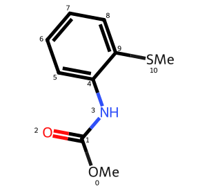 [CH2]OC(=O)Nc1ccccc1SC